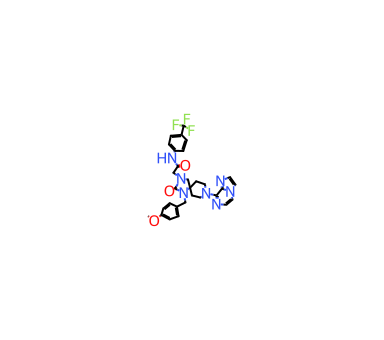 COc1ccc(CN2C(=O)N(CC(=O)Nc3ccc(C(F)(F)F)cc3)CC23CCN(c2nccn4ccnc24)CC3)cc1